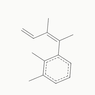 C=CC(C)=C(C)c1cccc(C)c1C